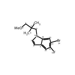 COCC(C)(C)Cn1ccc2cc(F)c(Br)cc21